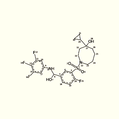 O=S(=O)(c1cc(C(O)Nc2cc(F)c(F)c(F)c2)ccc1F)N1CCCCC(O)(C2CC2)CC1